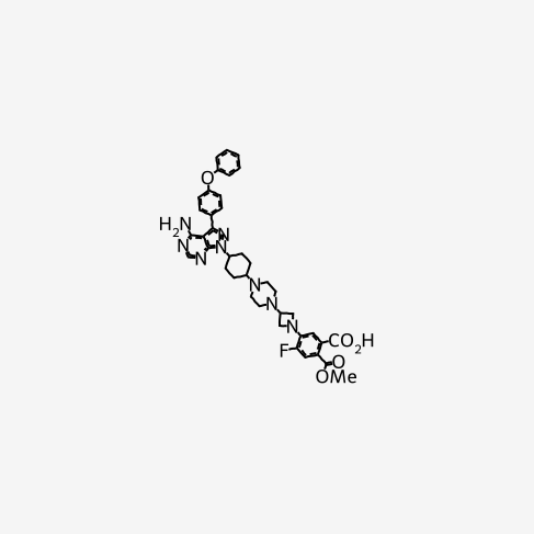 COC(=O)c1cc(F)c(N2CC(N3CCN(C4CCC(n5nc(-c6ccc(Oc7ccccc7)cc6)c6c(N)ncnc65)CC4)CC3)C2)cc1C(=O)O